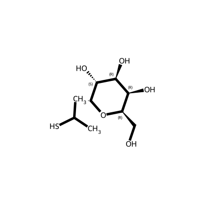 CC(C)S.OC[C@H]1O[CH][C@H](O)[C@@H](O)[C@H]1O